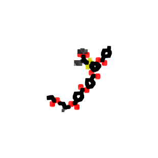 C=CC(=O)OCC[C@@H](C)COC(=O)C1CCC(C(=O)OC2CCC(C(=O)Oc3ccc(OC(=O)C4CCC(C)CC4)c4c3S/C(=C(\C#N)C(=O)OCCCC)S4)CC2)CC1